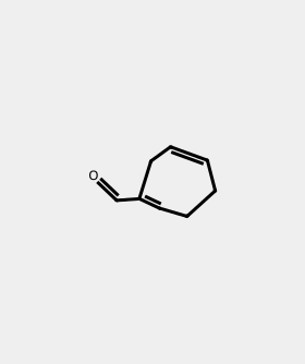 O=CC1=CCCC=CC1